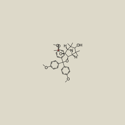 COc1ccc(C(O[C@H]2[C@@H](OC(C)=O)[C@H]3N(C)[C@@H]2C(C)(C)C(O)C3(C)C)(c2ccc(OC)cc2)c2ccc(OC)cc2)cc1